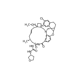 CO[C@H]1/C=C/C[C@H](C)C[S@@](=O)(NC(=O)N[C@H]2CCOC2)=NC(=O)c2ccc3c(c2)N(C[C@@H]2CC[C@H]21)C[C@@]12c4ccc(Cl)cc4CCC1C2O3